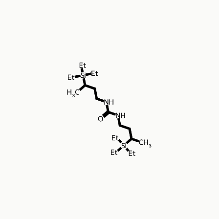 CC[Si](CC)(CC)C(C)CCNC(=O)NCCC(C)[Si](CC)(CC)CC